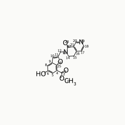 COC(=O)c1cc(O)cc2cc(CN3CCc4ccncc4C3=O)oc12